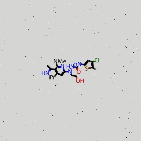 CNc1nc(N(CCO)NC(=O)Nc2cc(Cl)c(C)s2)cc(C(C)C)c1C(C)=N